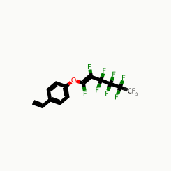 C=Cc1ccc(OC(F)=C(F)C(F)(F)C(F)(F)C(F)(F)C(F)(F)F)cc1